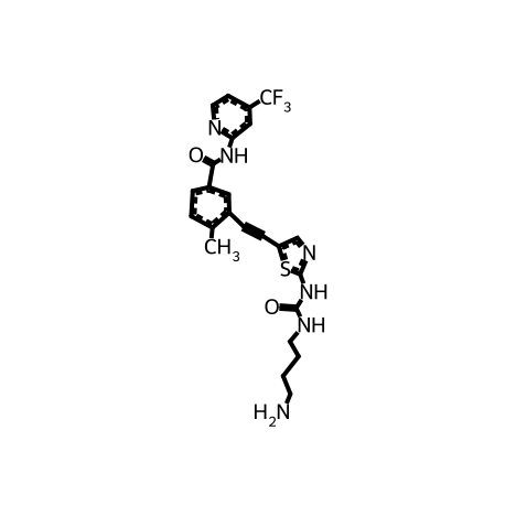 Cc1ccc(C(=O)Nc2cc(C(F)(F)F)ccn2)cc1C#Cc1cnc(NC(=O)NCCCCN)s1